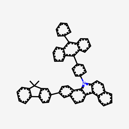 CC1(C)c2ccccc2-c2ccc(-c3ccc4c(ccc5c6c7ccccc7ccc6n(-c6ccc(-c7c8ccccc8c(-c8ccccc8)c8ccccc78)cc6)c45)c3)cc21